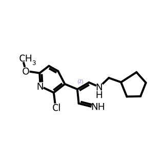 COc1ccc(/C(C=N)=C/NCC2CCCC2)c(Cl)n1